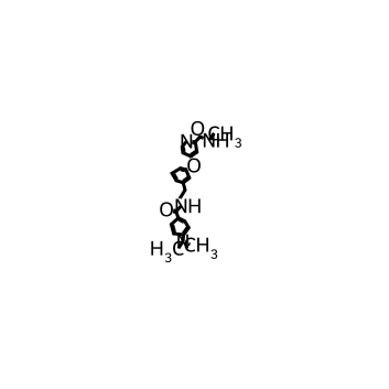 CNC(=O)c1cc(Oc2cccc(CCNC(=O)c3ccc(N(C)C)cc3)c2)ccn1